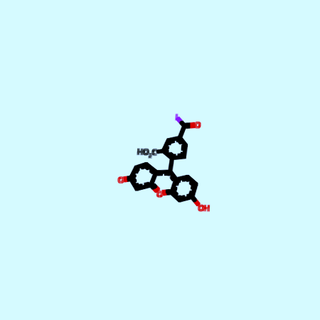 O=C(I)c1ccc(-c2c3ccc(=O)cc-3oc3cc(O)ccc23)c(C(=O)O)c1